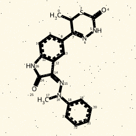 CC1SC(=O)NN=C1c1ccc2c(c1)/C(=N/N(C)c1ccccc1)C(=O)N2